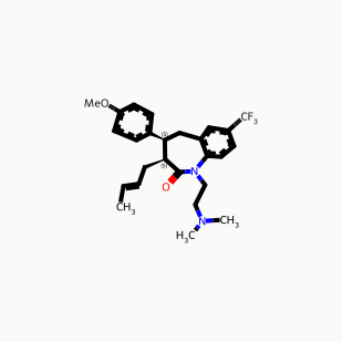 CC=CC[C@@H]1C(=O)N(CCN(C)C)c2ccc(C(F)(F)F)cc2C[C@@H]1c1ccc(OC)cc1